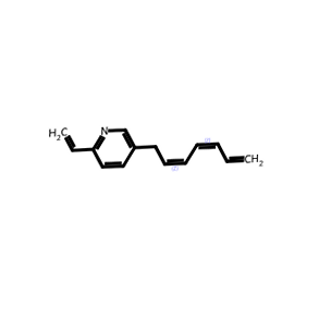 C=C/C=C\C=C/Cc1ccc(C=C)nc1